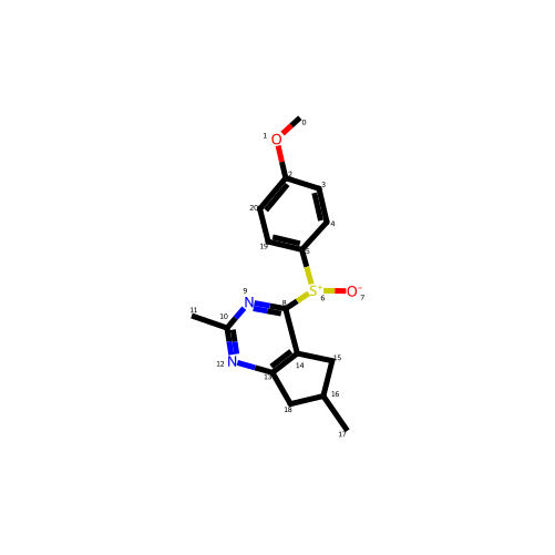 COc1ccc([S+]([O-])c2nc(C)nc3c2CC(C)C3)cc1